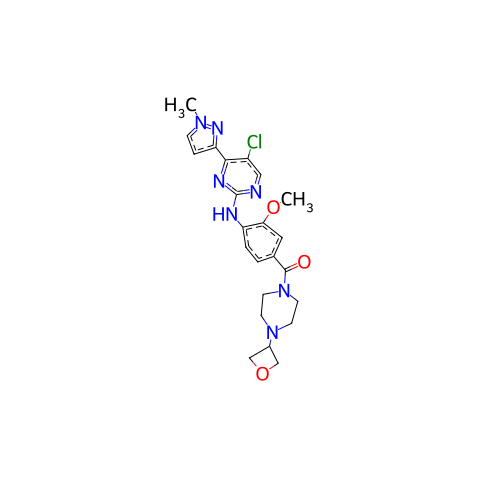 COc1cc(C(=O)N2CCN(C3COC3)CC2)ccc1Nc1ncc(Cl)c(-c2ccn(C)n2)n1